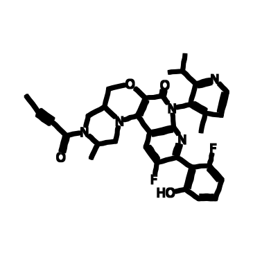 CC#CC(=O)N1CC2COc3c(c4cc(F)c(-c5c(O)cccc5F)nc4n(-c4c(C)ccnc4C(C)C)c3=O)N2CC1C